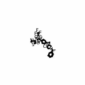 C[C@@H](c1ccccc1)N1CC[C@H](N(C)c2ccc(S(=O)(=O)N(OC(=O)C(F)(F)F)c3cscn3)cc2Cl)C1